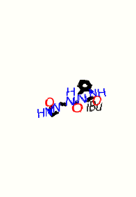 CCC(C)C1C(=O)Nc2ccccc2CN1C(=O)NCCN1CCNC1=O